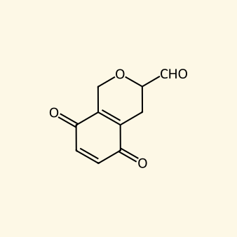 O=CC1CC2=C(CO1)C(=O)C=CC2=O